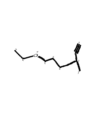 C#CC(C)CCCO[CH]C